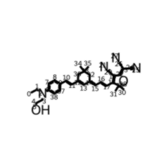 CCN(CCO)c1ccc(/C=C/C2=CC(=C/C=C/C3=C(C#N)C(=C(C#N)C#N)OC3(C)C)/CC(C)(C)C2)cc1